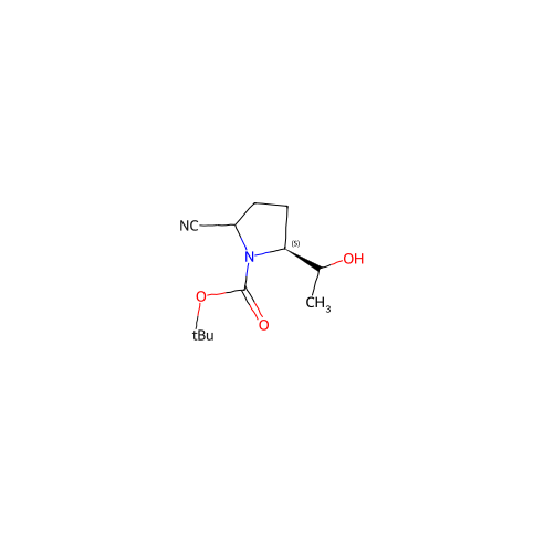 CC(O)[C@@H]1CCC(C#N)N1C(=O)OC(C)(C)C